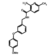 COc1ccc(Oc2cccc(CNC(=O)c3ccc(C)nc3N)c2)cc1